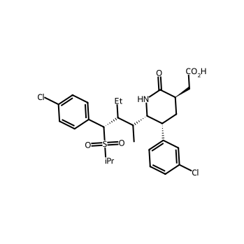 CCC(C(C)[C@@H]1NC(=O)[C@@H](CC(=O)O)C[C@@H]1c1cccc(Cl)c1)[C@@H](c1ccc(Cl)cc1)S(=O)(=O)C(C)C